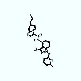 CCc1nn(Cc2cccc(C)n2)c2cccc(NC(=O)c3cnc4cc(CCI)ccn34)c12